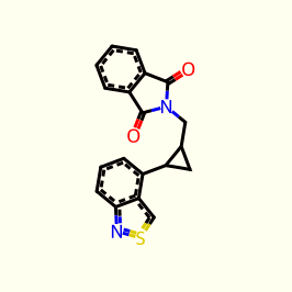 O=C1c2ccccc2C(=O)N1CC1CC1c1cccc2nscc12